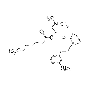 COc1cccc(CCc2ccccc2OC[C@@H](CN(C)C)OC(=O)CCCCCC(=O)O)c1